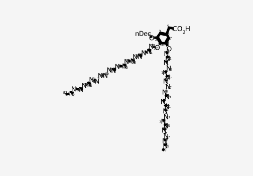 CCCCCCCCCCOc1cc(CC(=O)O)cc(ON=NN=NN=NN=NN=NN=NN=NN=NN=NN=NC)c1ON=NN=NN=NN=NN=NN=NN=NN=NN=NN=NC